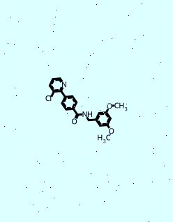 COc1cc(CNC(=O)c2ccc(-c3ncccc3Cl)cc2)cc(OC)c1